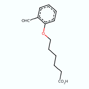 O=[C]c1ccccc1OCCCCCC(=O)O